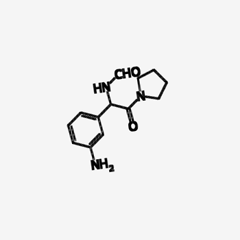 Nc1cccc(C(NC=O)C(=O)N2CCCC2)c1